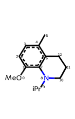 COc1ccc(C)c2c1N(C(C)C)CCC2